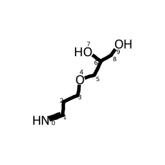 N=CCCOCC(O)CO